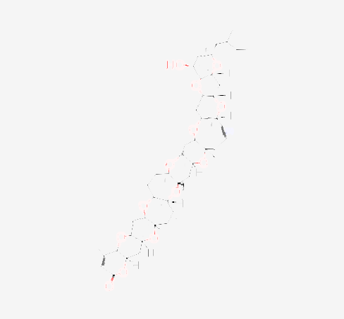 CCC(C)C[C@@H]1C[C@H](O)[C@]2(C)OC3CC4OC5C[C@]6(C)O[C@]7(C)CCC8OC9C[C@]%10(C)OC%11C(C)=CC(=O)O[C@H]%11C[C@H]%10O[C@H]9C[C@@H](C)[C@H]8O[C@H]7C[C@H]6O[C@@]5(C)C/C=C\[C@H]4O[C@H]3C[C@H]2O1